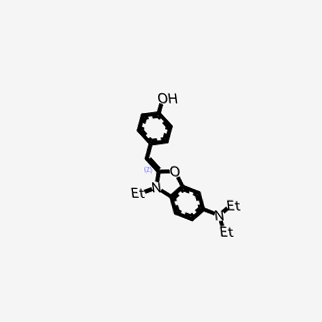 CCN(CC)c1ccc2c(c1)O/C(=C\c1ccc(O)cc1)N2CC